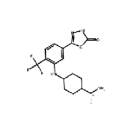 C[C@@H](N)C1CCC(Nc2cc(-c3n[nH]c(=O)o3)ccc2C(F)(F)F)CC1